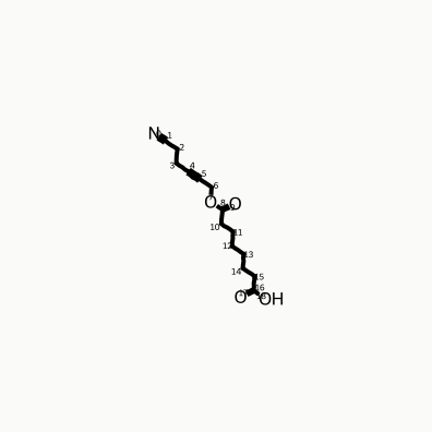 N#CCCC#CCOC(=O)CCCCCCC(=O)O